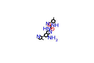 Cc1ccc(NC(=O)C(=O)Nc2cc3cc(-c4cnccc4C)cc(N)c3cn2)c(C#N)c1